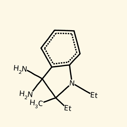 CCN1c2ccccc2C(N)(N)C1(C)CC